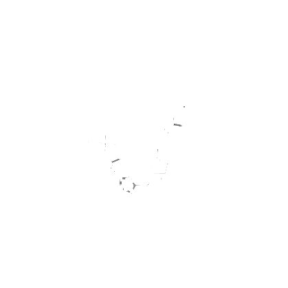 CC(C)(C)OC(=O)NCCN1C[C@H](Cc2csc(NC(=O)OC(C)(C)C)n2)[C@@H](O)C1